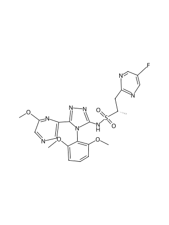 COc1cncc(-c2nnc(NS(=O)(=O)[C@@H](C)Cc3ncc(F)cn3)n2-c2c(OC)cccc2OC)n1